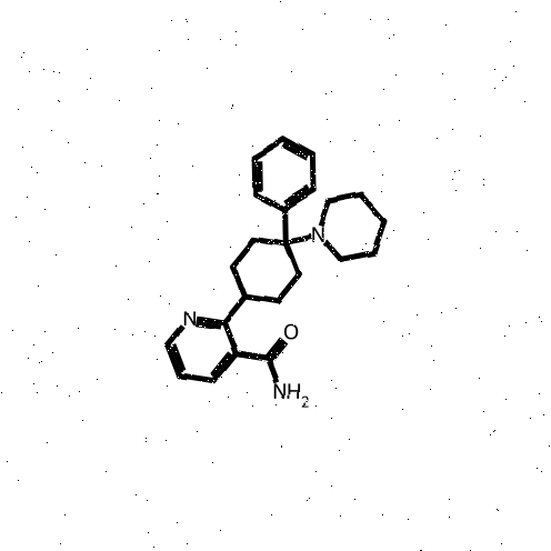 NC(=O)c1cccnc1C1CCC(c2ccccc2)(N2CCCCC2)CC1